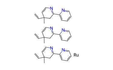 C=CC1(C)C=CN=C(c2ccccn2)C1.C=CC1(C)C=CN=C(c2ccccn2)C1.C=CC1(C)C=CN=C(c2ccccn2)C1.[Ru]